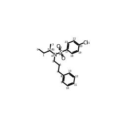 CC[C@@H](C)N(CCCc1ccccc1)S(=O)(=O)c1ccc(Cl)cc1